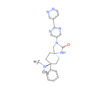 CN(C)[C@]1(c2ccccc2)CC[C@]2(CC1)CN(c1cnc(-c3ccnnc3)nc1)C(=O)N2